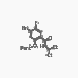 CCC[C@H](C)Oc1cc(Br)c(F)cc1C(=O)NC(CC)CC